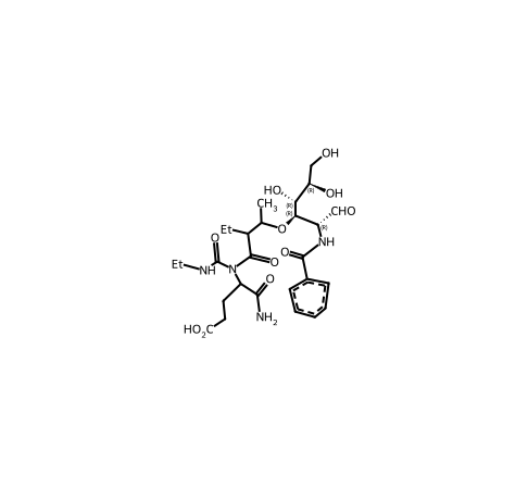 CCNC(=O)N(C(=O)C(CC)C(C)O[C@@H]([C@H](O)[C@H](O)CO)[C@H](C=O)NC(=O)c1ccccc1)C(CCC(=O)O)C(N)=O